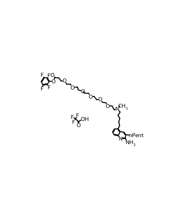 CCCCCc1cc2c(CCCCCN(C)CCOCCOCCOCCOCCOCCOCCC(=O)Oc3c(F)c(F)cc(F)c3F)cccc2nc1N.O=C(O)C(F)(F)F